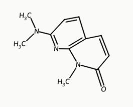 CN(C)c1ccc2ccc(=O)n(C)c2n1